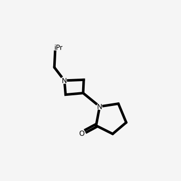 CC(C)CN1CC(N2CCCC2=O)C1